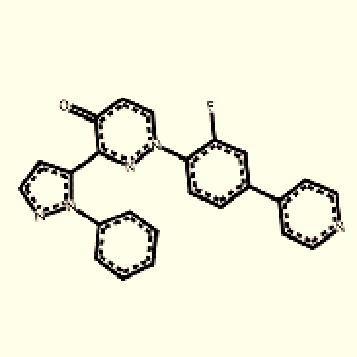 O=c1ccn(-c2ccc(-c3ccncc3)cc2F)nc1-c1ccnn1-c1ccccc1